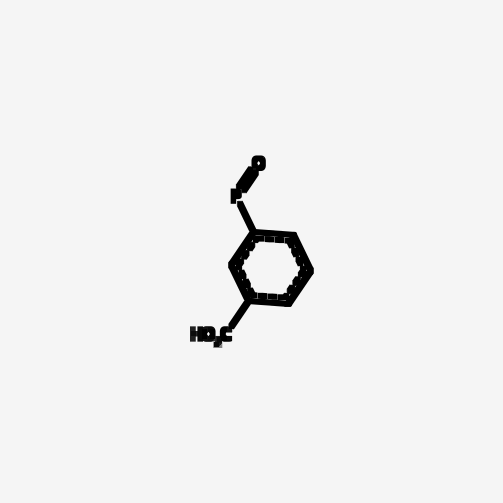 O=Pc1cccc(C(=O)O)c1